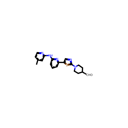 Cc1ccnc(Nc2cccc(-c3cnc(N4CCC(C=O)CC4)s3)n2)c1